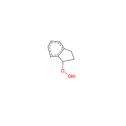 OOC1CCc2ccccc21